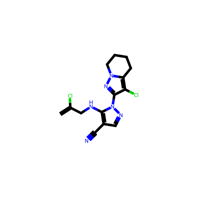 C=C(Cl)CNc1c(C#N)cnn1-c1nn2c(c1Cl)CCCC2